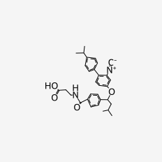 [C-]#[N+]c1cc(OC(CC(C)C)c2ccc(C(=O)NCCC(=O)O)cc2)ccc1-c1ccc(C(C)C)cc1